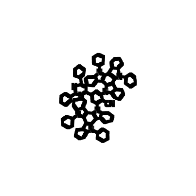 N#Cc1c(-n2c3ccccc3c3c4c(c5ccccc5n4-c4ccccc4)c4c(c5ccccc5n4-c4ccccc4)c32)cc(-c2cc(-c3ccccc3)nc(-c3ccccc3)n2)cc1-n1c2ccccc2c2c3c(c4ccccc4n3-c3ccccc3)c3c(c4ccccc4n3-c3ccccc3)c21